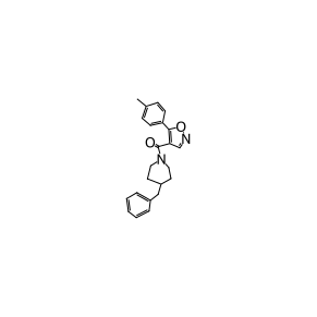 Cc1ccc(-c2oncc2C(=O)N2CCC(Cc3ccccc3)CC2)cc1